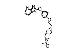 CC(=O)N1CC2CN(CCOc3ccc(Oc4nc5ncccc5s4)cc3)CC2C1